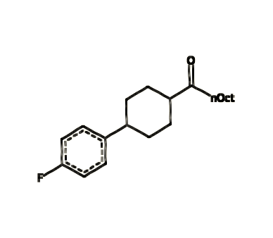 CCCCCCCCC(=O)C1CCC(c2ccc(F)cc2)CC1